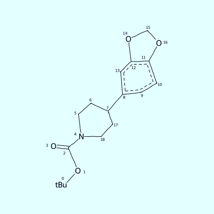 CC(C)(C)OC(=O)N1CC[C](c2ccc3c(c2)OCO3)CC1